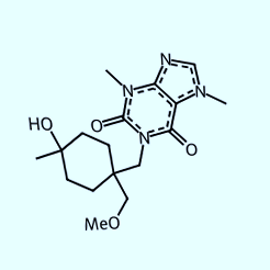 COCC1(Cn2c(=O)c3c(ncn3C)n(C)c2=O)CCC(C)(O)CC1